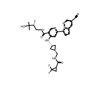 CC(C)(O)[C@H](F)CNC(=O)c1cnc(-c2ccc3cc(C#N)cnn23)cc1N[C@H]1C[C@H](CNC(=O)C2CC2(F)F)C1